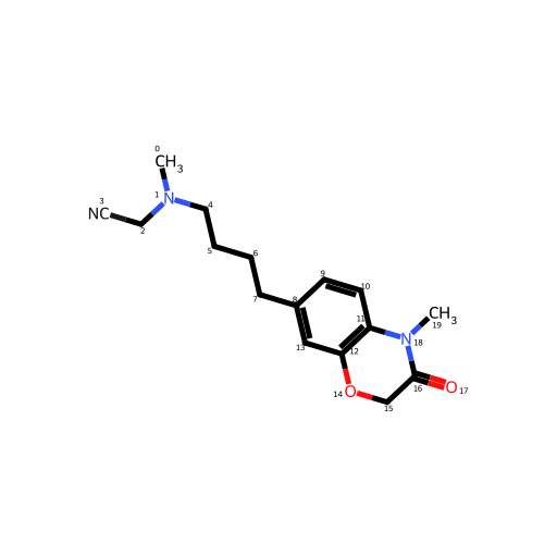 CN(CC#N)CCCCc1ccc2c(c1)OCC(=O)N2C